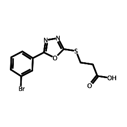 O=C(O)CCSc1nnc(-c2cccc(Br)c2)o1